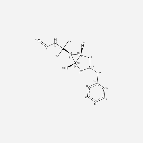 CC(C)(NC=O)[C@H]1[C@@H]2CN(Cc3ccccc3)C[C@@H]21